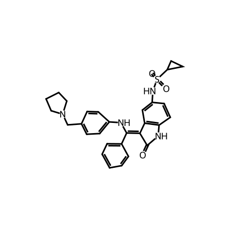 O=C1Nc2ccc(NS(=O)(=O)C3CC3)cc2C1=C(Nc1ccc(CN2CCCC2)cc1)c1ccccc1